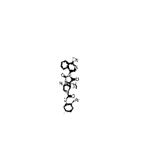 CC(C)[C@H]1CC[C@H](C)C[C@@H]1OC(=O)N1C[C@@H]2C[C@H]1[C@@H]1C(=O)N(c3cnc(C#N)c4ccccc34)C(=O)N21